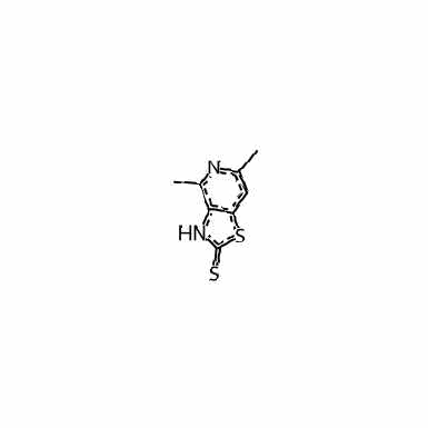 Cc1cc2sc(=S)[nH]c2c(C)n1